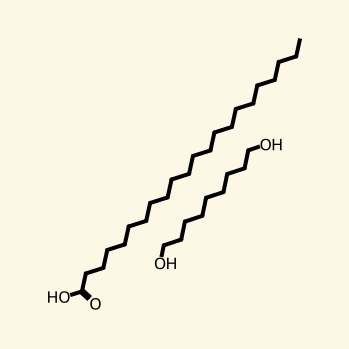 CCCCCCCCCCCCCCCCCCCCCC(=O)O.OCCCCCCCCCO